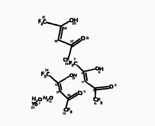 O.O.O=C(/C=C(\O)C(F)(F)F)C(F)(F)F.O=C(/C=C(\O)C(F)(F)F)C(F)(F)F.O=C(/C=C(\O)C(F)(F)F)C(F)(F)F.[Yb]